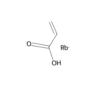 C=CC(=O)O.[Rb]